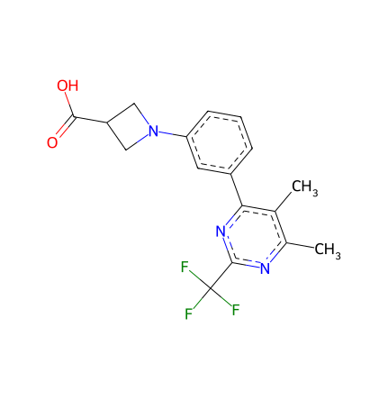 Cc1nc(C(F)(F)F)nc(-c2cccc(N3CC(C(=O)O)C3)c2)c1C